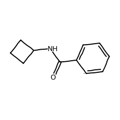 O=C(NC1CCC1)c1[c]cccc1